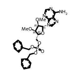 CO[C@@H]1[C@H](OC)[C@@H](COP(=O)(OCc2ccccc2)OCc2ccccc2)O[C@H]1n1cnc2c(N)ncnc21